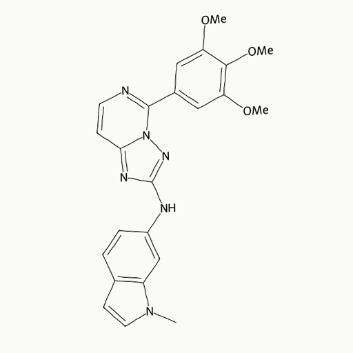 COc1cc(-c2nccc3nc(Nc4ccc5ccn(C)c5c4)nn23)cc(OC)c1OC